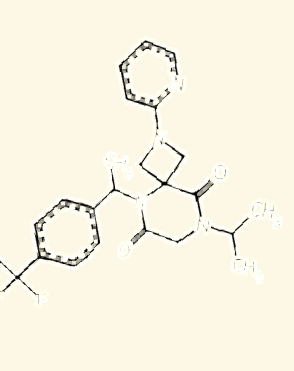 CC(C)N1CC(=O)N(C(C)c2ccc(C(F)(F)F)cc2)C2(CN(c3ccccn3)C2)C1=O